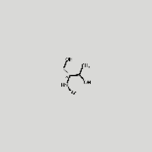 CC(=O)N[C@H](CO)C(C)O